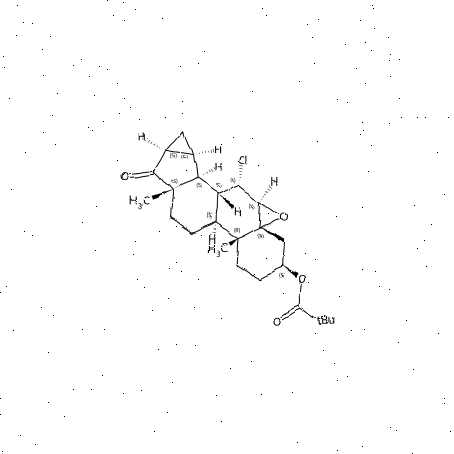 CC(C)(C)C(=O)O[C@H]1CC[C@]2(C)[C@H]3CC[C@]4(C)C(=O)[C@H]5C[C@H]5[C@H]4[C@@H]3[C@H](Cl)[C@H]3O[C@@]32C1